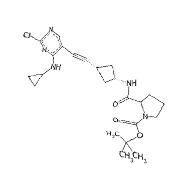 CC(C)(C)OC(=O)N1CCCC1C(=O)N[C@H]1C[C@@H](C#Cc2cnc(Cl)nc2NC2CC2)C1